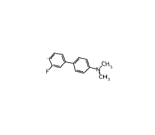 CN(C)c1ccc(-c2cc[c]c(F)c2)cc1